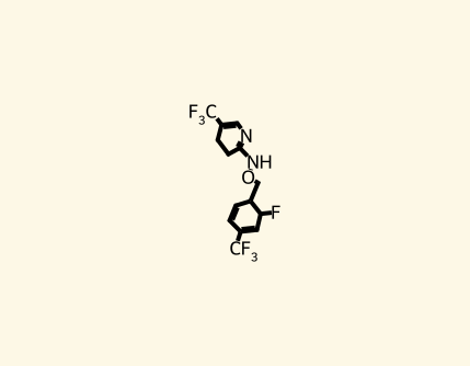 FC1C=C(C(F)(F)F)C=CC1CONC1=NC=C(C(F)(F)F)CC1